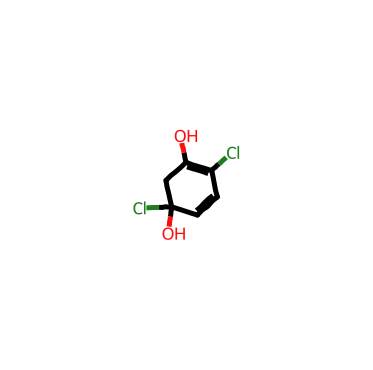 OC1=C(Cl)C=CC(O)(Cl)C1